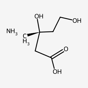 C[C@@](O)(CCO)CC(=O)O.N